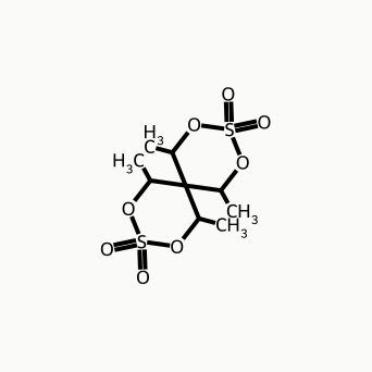 CC1OS(=O)(=O)OC(C)C12C(C)OS(=O)(=O)OC2C